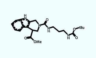 COC(=O)C1CN(C(=O)NCCCNC(=O)OC(C)(C)C)Cc2[nH]c3ccccc3c21